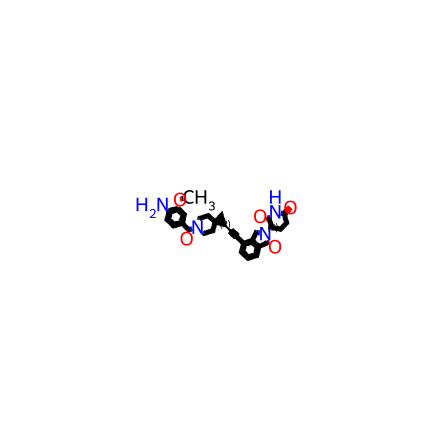 COc1cc(C(=O)N2CCC3(CC2)C[C@H]3C#Cc2cccc3c2CN([C@H]2CCC(=O)NC2=O)C3=O)ccc1N